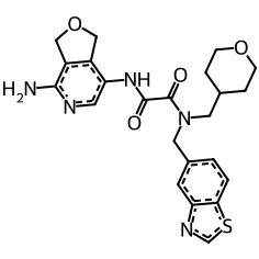 Nc1ncc(NC(=O)C(=O)N(Cc2ccc3scnc3c2)CC2CCOCC2)c2c1COC2